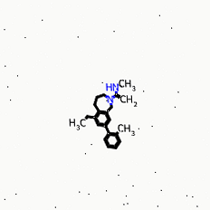 C=C(NC)N1CCCc2c(CC)cc(-c3ccccc3C)cc2C1